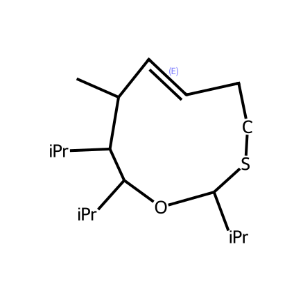 CC(C)C1OC(C(C)C)C(C(C)C)C(C)/C=C/CCS1